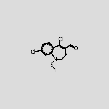 O=CC1=C(Cl)c2ccc(Cl)cc2N(SI)CC1